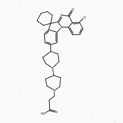 O=C(O)CCN1CCC(N2CCC(c3ccc4c(c3)-n3c(nc(=O)c5c(Cl)cccc53)C43CCCCC3)CC2)CC1